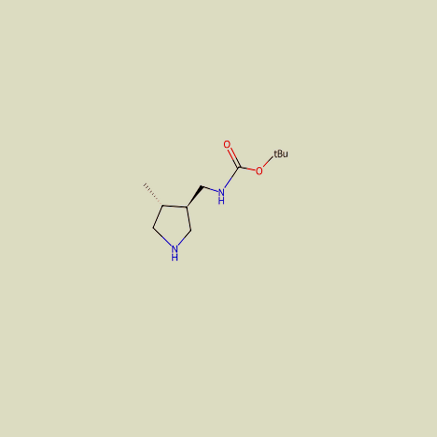 C[C@H]1CNC[C@@H]1CNC(=O)OC(C)(C)C